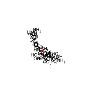 C[C@@H](C=O)N(C(=O)CC[C@H](NC(=O)c1ccc(N(C)c2cnc3nc(N)[nH]c(=O)c3n2)cc1)C(=O)O)N([C@H](C=O)[C@H](CCNC(=N)N)C(=O)O)N([C@H](C=O)CC(=O)O)N(CCS)C(=O)O